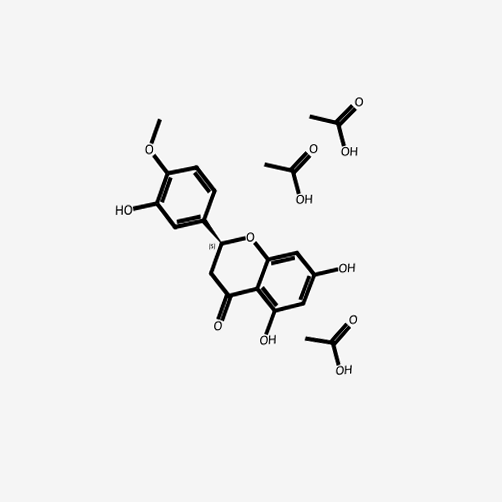 CC(=O)O.CC(=O)O.CC(=O)O.COc1ccc([C@@H]2CC(=O)c3c(O)cc(O)cc3O2)cc1O